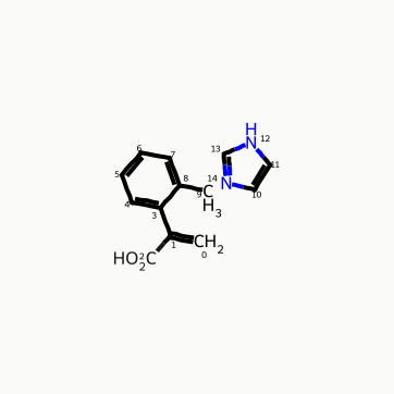 C=C(C(=O)O)c1ccccc1C.c1c[nH]cn1